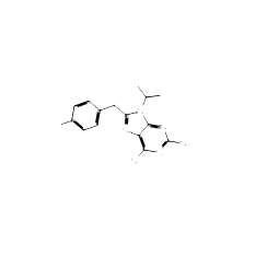 CC(C)n1c(Cc2ccc(F)cc2)nc2c(N)nc(N)nc21